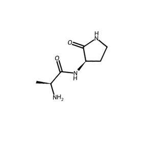 C[C@H](N)C(=O)N[C@@H]1CCNC1=O